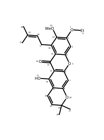 CCOc1cc2oc3cc4c(c(O)c3c(=O)c2c(CC=C(C)C)c1OC)C=CC(C)(C)O4